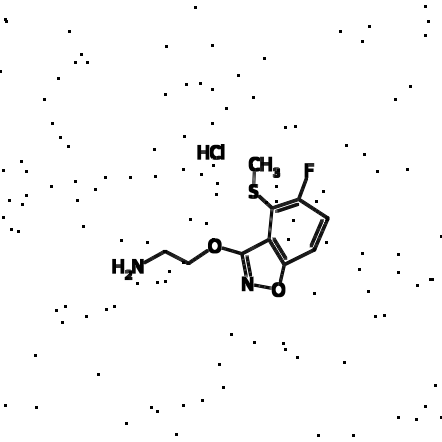 CSc1c(F)ccc2onc(OCCN)c12.Cl